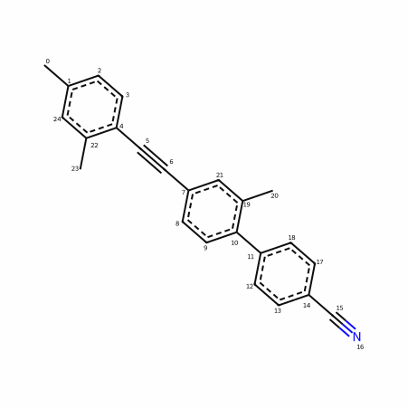 Cc1ccc(C#Cc2ccc(-c3ccc(C#N)cc3)c(C)c2)c(C)c1